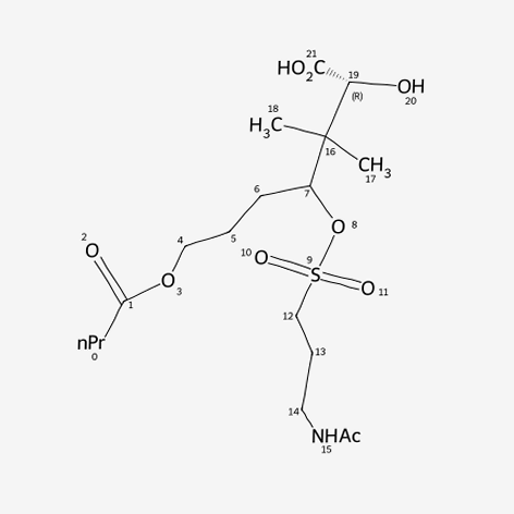 CCCC(=O)OCCCC(OS(=O)(=O)CCCNC(C)=O)C(C)(C)[C@@H](O)C(=O)O